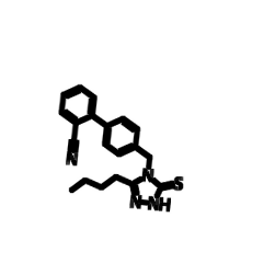 CCCCc1n[nH]c(=S)n1Cc1ccc(-c2ccccc2C#N)cc1